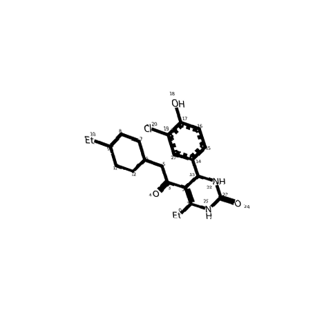 CCC1=C(C(=O)CC2CCC(CC)CC2)C(c2ccc(O)c(Cl)c2)NC(=O)N1